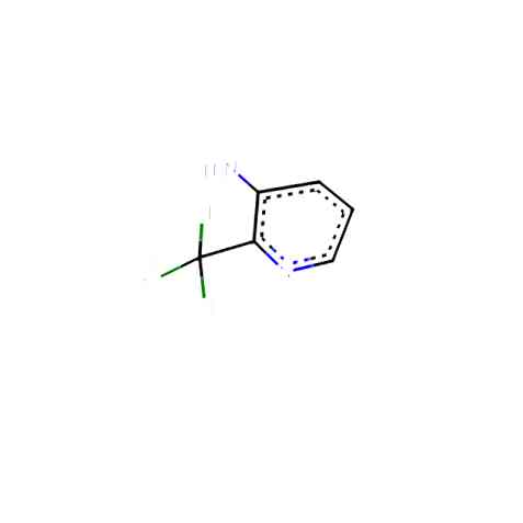 Nc1cccnc1C(Cl)(Cl)Cl